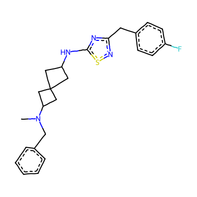 CN(Cc1ccccc1)C1CC2(CC(Nc3nc(Cc4ccc(F)cc4)ns3)C2)C1